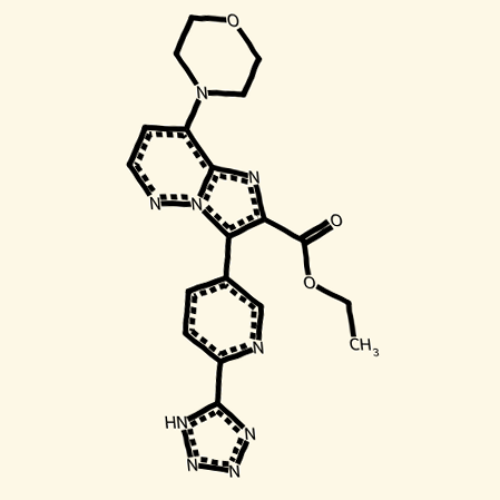 CCOC(=O)c1nc2c(N3CCOCC3)ccnn2c1-c1ccc(-c2nnn[nH]2)nc1